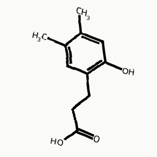 Cc1cc(O)c(CCC(=O)O)cc1C